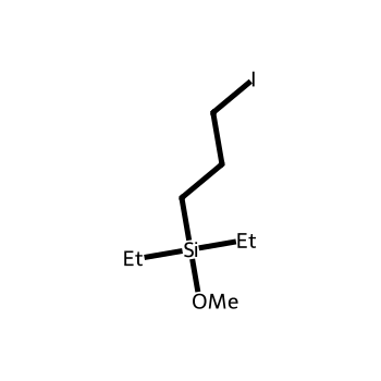 CC[Si](CC)(CCCI)OC